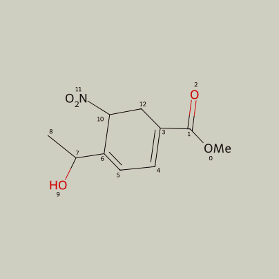 COC(=O)C1=CC=C(C(C)O)C([N+](=O)[O-])C1